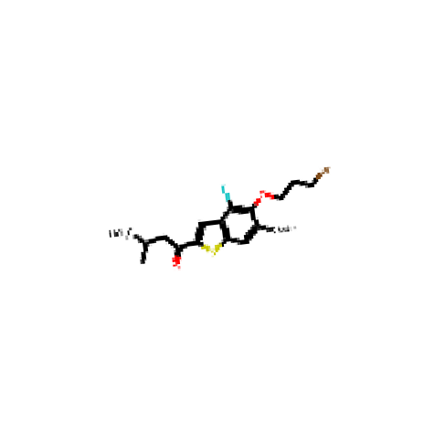 COc1cc2sc(C(=O)CC(C)C(=O)O)cc2c(F)c1OCCCBr